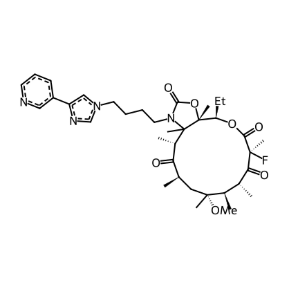 CC[C@H]1OC(=O)[C@@](C)(F)C(=O)[C@H](C)[C@@H](C)[C@](C)(OC)C[C@@H](C)C(=O)[C@H](C)C2(C)N(CCCCn3cnc(-c4cccnc4)c3)C(=O)O[C@]12C